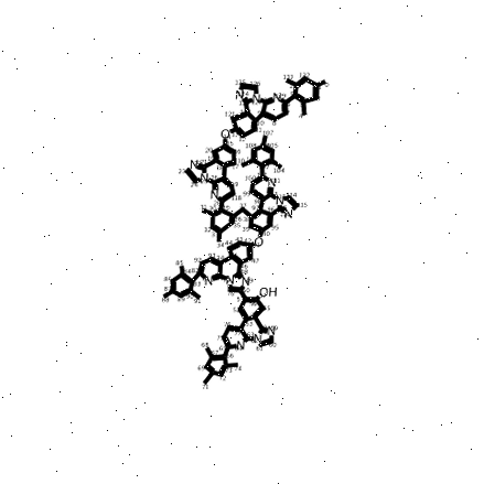 Cc1cc(C)c(-c2ccc3c4ccc(Oc5ccc6c(c5)c5nccn5c5nc(-c7c(C)cc(C)cc7Cc7cc(Oc8ccc9c(c8)c8nc(-c%10cc%11c(cc%10O)c%10nccn%10c%10nc(-c%12c(C)cc(C)cc%12C)ccc%11%10)cn8c8nc(-c%10c(C)cc(C)cc%10C)ccc98)cc8c7c7ccc(-c9c(C)cc(C)cc9C)nc7n7ccnc87)ccc65)cc4c4nccn4c3n2)c(C)c1